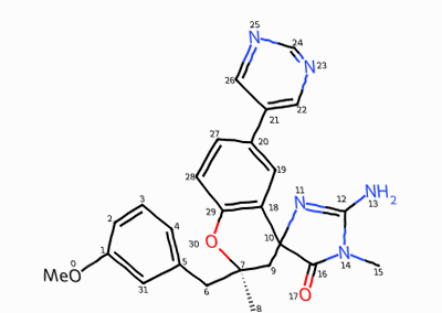 COc1cccc(C[C@]2(C)CC3(N=C(N)N(C)C3=O)c3cc(-c4cncnc4)ccc3O2)c1